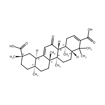 CC1(C)C(C(=O)O)=CC[C@]2(C)[C@H]3C(=O)C=C4[C@@H]5C[C@@](C)(C(=O)O)CC[C@]5(C)CC[C@@]4(C)[C@]3(C)CC[C@@H]12